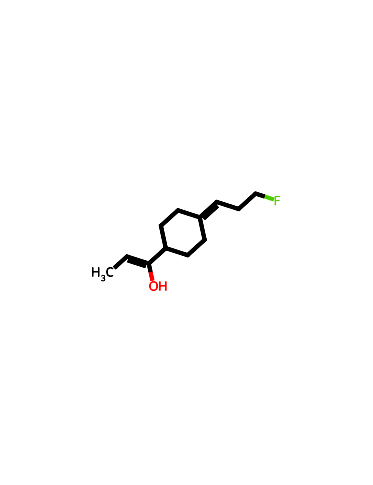 CC=C(O)C1CCC(=CCCF)CC1